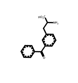 NC(Cc1cccc(C(=O)c2ccccc2)c1)C(=O)O